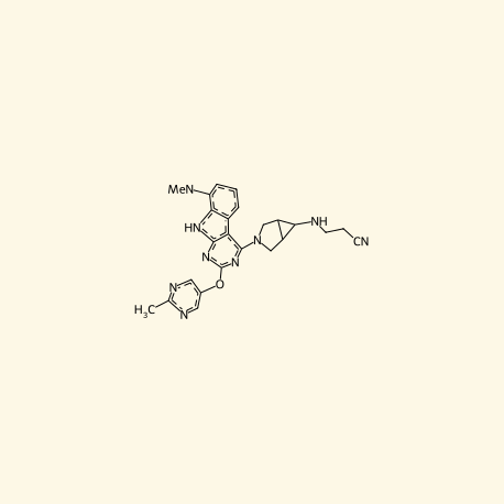 CNc1cccc2c1[nH]c1nc(Oc3cnc(C)nc3)nc(N3CC4C(C3)C4NCCC#N)c12